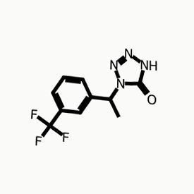 CC(c1cccc(C(F)(F)F)c1)n1nn[nH]c1=O